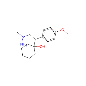 COc1ccc(C(CN(C)N)C2(O)CCCCC2)cc1